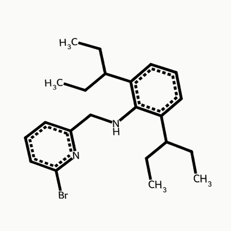 CCC(CC)c1cccc(C(CC)CC)c1NCc1cccc(Br)n1